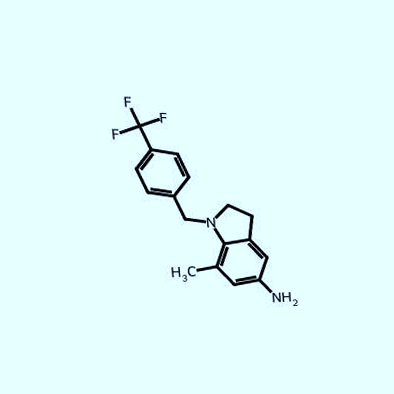 Cc1cc(N)cc2c1N(Cc1ccc(C(F)(F)F)cc1)CC2